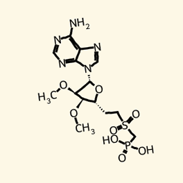 CO[C@@H]1[C@H](OC)[C@@H](CCS(=O)(=O)CP(=O)(O)O)O[C@H]1n1cnc2c(N)ncnc21